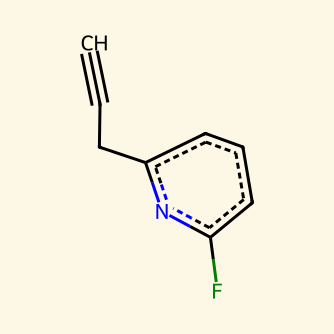 C#CCc1cccc(F)n1